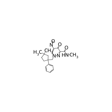 CNC(=O)c1nn(CC2(c3ccccc3)CCC(C)(C)C2)cc(N=O)c1=O